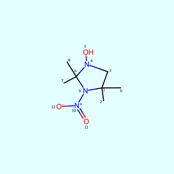 CC1(C)CN(O)C(C)(C)N1[N+](=O)[O-]